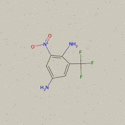 Nc1cc([N+](=O)[O-])c(N)c(C(F)(F)F)c1